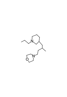 CCCN1CCCC(CC(C)CCN2CCOCC2)C1